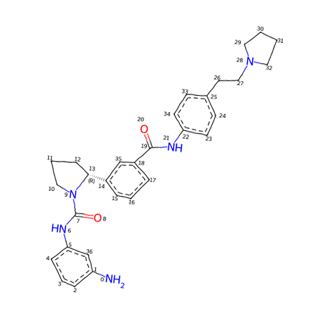 Nc1cccc(NC(=O)N2CCC[C@@H]2c2cccc(C(=O)Nc3ccc(CCN4CCCC4)cc3)c2)c1